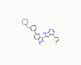 Fc1ccc(-c2ccnc3[nH]c(-c4n[nH]c5ccc(-c6cncc(CN7CCCCC7)c6)nc45)cc23)s1